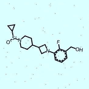 [O-][S+](C1CC1)N1CCC(C2CN(c3cccc(CO)c3F)C2)CC1